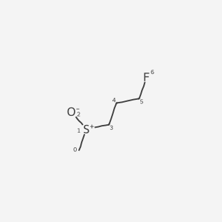 C[S+]([O-])CCCF